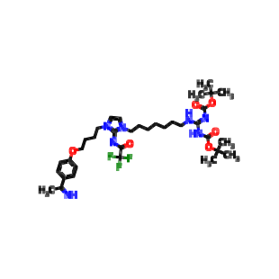 CC(=N)c1ccc(OCCCCn2ccn(CCCCCCCN/C(=N\C(=O)OC(C)(C)C)NC(=O)OC(C)(C)C)/c2=N\C(=O)C(F)(F)F)cc1